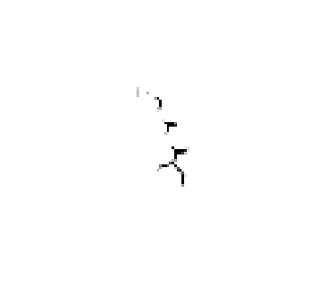 CCOC(=O)OC(=O)C(N)CC.Cl